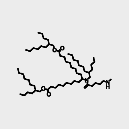 C=C(CCCCNC)N(CC(CCCC)CCCCCCC)C(CCCCCCCCC(=O)OCC(CCCC)CCCCCC)CCCCCCCCC(=O)OCC(CCCC)CCCCCCC